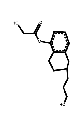 O=C(CO)Oc1cccc2c1CCC(CCCO)C2